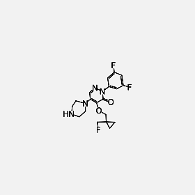 O=c1c(OCC2(CF)CC2)c(N2CCNCC2)cnn1-c1cc(F)cc(F)c1